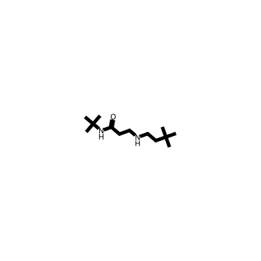 CC(C)(C)CCNCCC(=O)NC(C)(C)C